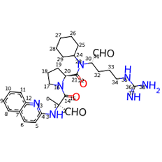 C[C@](C=O)(Nc1ccc2ccccc2n1)C(=O)N1CCC[C@H]1C(=O)N(C1CCCCC1)[C@H](C=O)CCCNC(=N)N